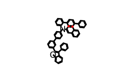 c1ccc(-c2ccc(-c3ccccc3N(c3ccc(-c4cccc(-c5oc6ccccc6c5-c5ccccc5)c4)cc3)c3ccc4ccccc4c3)cc2)cc1